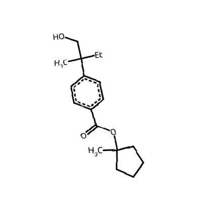 CCC(C)(CO)c1ccc(C(=O)OC2(C)CCCC2)cc1